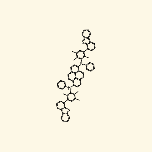 Cc1cc(-c2cccc3c2sc2ccccc23)c(C)c(N(c2ccccc2)c2ccc3ccc4c(N(c5ccccc5)c5c(C)c(C)cc(-c6cccc7c6sc6ccccc67)c5C)ccc5ccc2c3c54)c1C